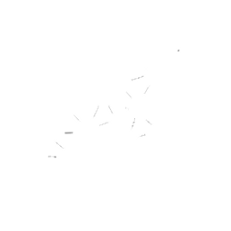 Cc1cc2sc3c(-c4ccc(N(c5ccccc5)c5ccc(OCCO)cc5)cc4)csc3c2s1